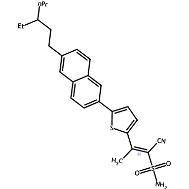 CCCC(CC)CCc1ccc2cc(-c3ccc(/C(C)=C(\C#N)S(N)(=O)=O)s3)ccc2c1